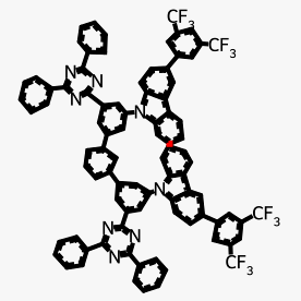 FC(F)(F)c1cc(-c2ccc3c(c2)c2ccccc2n3-c2cc(-c3cccc(-c4cc(-c5nc(-c6ccccc6)nc(-c6ccccc6)n5)cc(-n5c6ccccc6c6cc(-c7cc(C(F)(F)F)cc(C(F)(F)F)c7)ccc65)c4)c3)cc(-c3nc(-c4ccccc4)nc(-c4ccccc4)n3)c2)cc(C(F)(F)F)c1